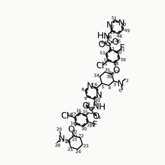 CN(C)C1CC(c2nccc(NS(=O)(=O)c3cc(Cl)c(O[C@H]4CCCC[C@@H]4N(C)C)cc3F)n2)CC[C@H]1Oc1cc(F)c(S(=O)(=O)Nc2ccncn2)cc1Cl